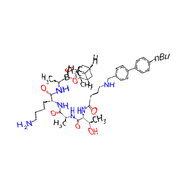 CCCCc1ccc(-c2ccc(CNCCCC(=O)N[C@H](C(=O)N[C@@H](C)C(=O)N[C@@H](CCCCN)C(=O)N[C@@H](C)B3OC4C[C@@H]5C[C@@H](C5(C)C)[C@]4(C)O3)[C@@H](C)O)cc2)cc1